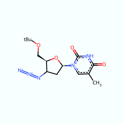 Cc1cn([C@H]2CC(N=[N+]=[N-])[C@@H](COC(C)(C)C)O2)c(=O)[nH]c1=O